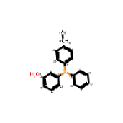 CC(C)=O.O.c1ccc(P(c2ccccc2)c2ccccc2)cc1